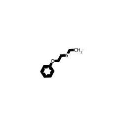 [CH2]CSCCOc1ccccc1